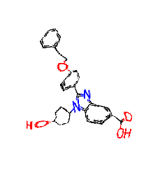 O=C(O)c1ccc2c(c1)nc(-c1ccc(OCc3ccccc3)cc1)n2C1CCC(O)CC1